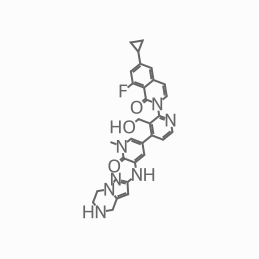 Cn1cc(-c2ccnc(-n3ccc4cc(C5CC5)cc(F)c4c3=O)c2CO)cc(Nc2cc3n(n2)CCNC3)c1=O